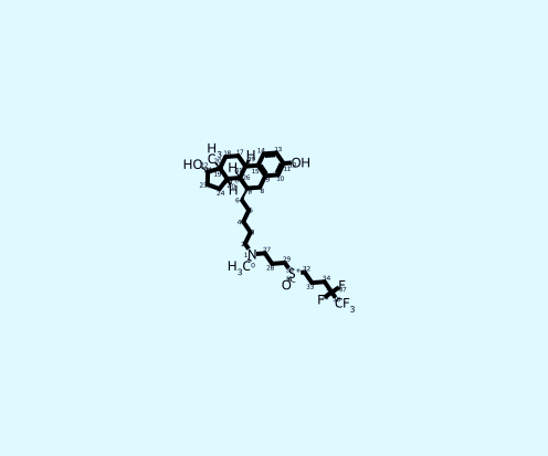 CN(CCCCC[C@@H]1Cc2cc(O)ccc2[C@H]2CC[C@]3(C)[C@@H](O)CC[C@H]3[C@H]12)CCC[S+]([O-])CCCC(F)(F)C(F)(F)F